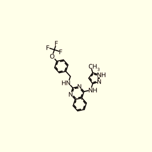 Cc1cc(Nc2nc(NCc3ccc(OC(F)(F)F)cc3)nc3ccccc23)n[nH]1